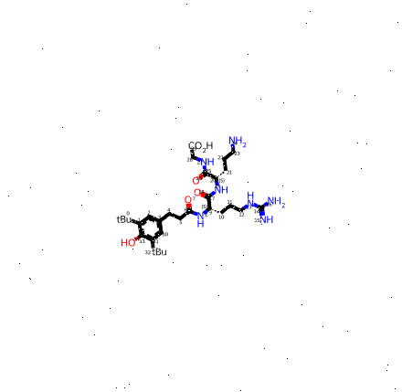 CC(C)(C)c1cc(CCC(=O)N[C@@H](CCCNC(=N)N)C(=O)N[C@@H](CCCN)C(=O)NCC(=O)O)cc(C(C)(C)C)c1O